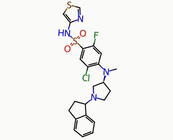 CN(c1cc(F)c(S(=O)(=O)Nc2cscn2)cc1Cl)[C@H]1CCN(C2CCc3ccccc32)C1